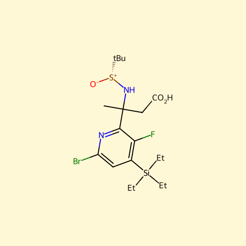 CC[Si](CC)(CC)c1cc(Br)nc(C(C)(CC(=O)O)N[S@+]([O-])C(C)(C)C)c1F